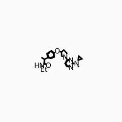 CCNC(=O)C(C)c1ccc(OC2CCN(c3ccnc(N(C)C4CC4)n3)C2)cc1